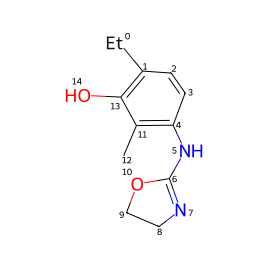 CCc1ccc(NC2=NCCO2)c(C)c1O